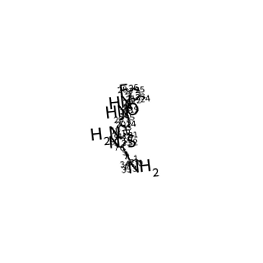 CCC(N)(C#Cc1cnc(N)c2c(-c3ccc(NC(=O)Nc4cc(C)ccc4F)cc3)csc12)CC